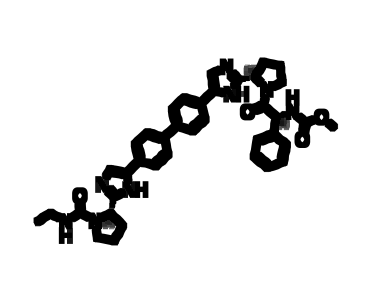 CCNC(=O)N1CCC[C@H]1c1ncc(-c2ccc(-c3ccc(-c4cnc([C@@H]5CCCN5C(=O)[C@H](NC(=O)OC)c5ccccc5)[nH]4)cc3)cc2)[nH]1